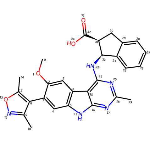 COc1cc2c(cc1-c1c(C)noc1C)[nH]c1nc(C)nc(N[C@@H]3c4ccccc4C[C@@H]3C(=O)O)c12